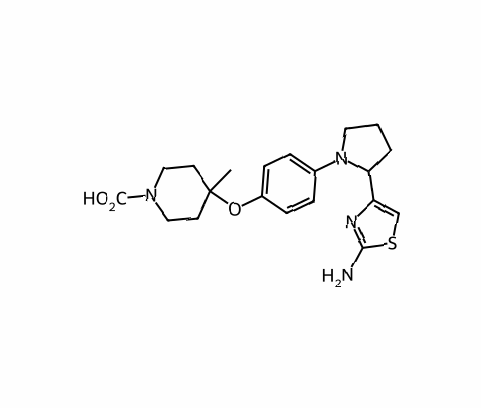 CC1(Oc2ccc(N3CCCC3c3csc(N)n3)cc2)CCN(C(=O)O)CC1